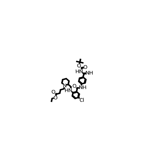 CCOC(=O)CCCN1CCCCC1CNc1ccc(Cl)cc1C(=O)Nc1ccc(C(=N)NC(=O)OC(C)(C)C)cc1